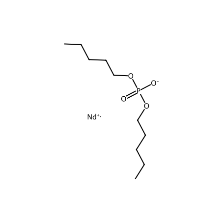 CCCCCOP(=O)([O-])OCCCCC.[Nd+]